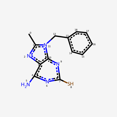 Cc1nc2c(N)nc(S)nc2n1Cc1ccccc1